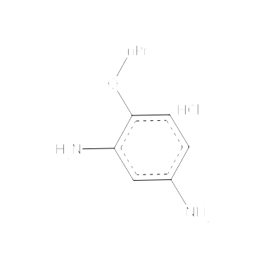 CCCOc1ccc(N)cc1N.Cl